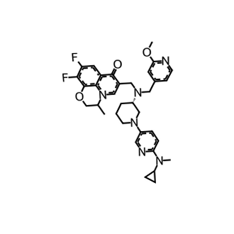 COc1cc(CN(Cc2cn3c4c(c(F)c(F)cc4c2=O)OCC3C)[C@H]2CCCN(c3ccc(N(C)C4CC4)nc3)C2)ccn1